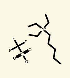 CCCCC[N+](CC)(CC)CC.O=S(=O)([O-])C(F)(F)F